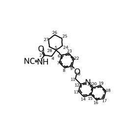 N#CNC(=O)CC1(c2ccc(OCc3ccc4ccccc4n3)cc2)CCCCC1